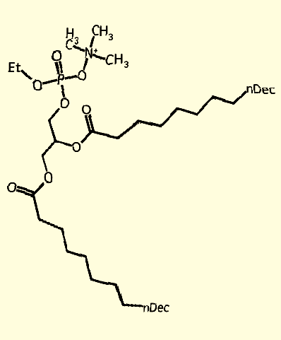 CCCCCCCCCCCCCCCCCC(=O)OCC(COP(=O)(OCC)O[N+](C)(C)C)OC(=O)CCCCCCCCCCCCCCCCC